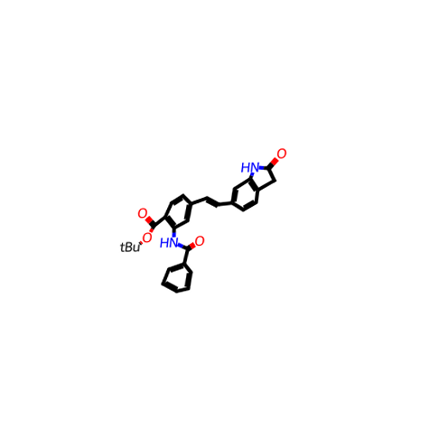 CC(C)(C)OC(=O)c1ccc(C=Cc2ccc3c(c2)NC(=O)C3)cc1NC(=O)c1ccccc1